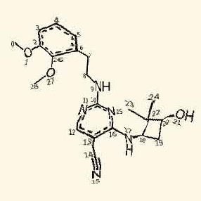 COc1cccc(CCNc2ncc(C#N)c(N[C@@H]3C[C@H](O)C3(C)C)n2)c1OC